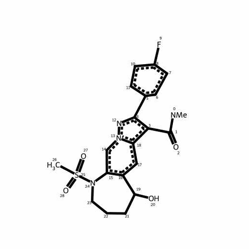 CNC(=O)c1c(-c2ccc(F)cc2)nn2cc3c(cc12)C(O)CCCN3S(C)(=O)=O